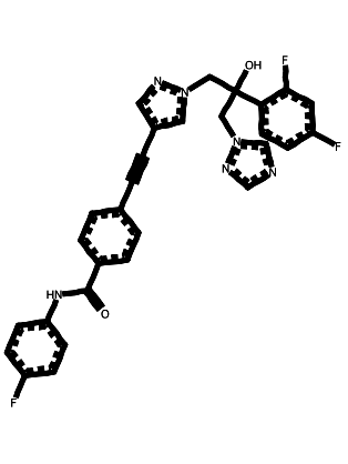 O=C(Nc1ccc(F)cc1)c1ccc(C#Cc2cnn(CC(O)(Cn3cncn3)c3ccc(F)cc3F)c2)cc1